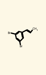 CC=Cc1cc(Br)cc(Br)c1